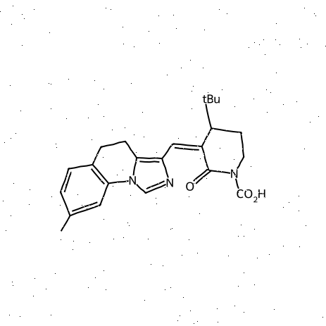 Cc1ccc2c(c1)-n1cnc(C=C3C(=O)N(C(=O)O)CCC3C(C)(C)C)c1CC2